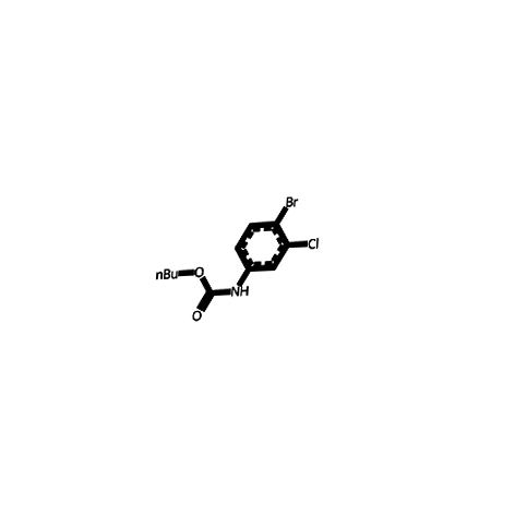 CCCCOC(=O)Nc1ccc(Br)c(Cl)c1